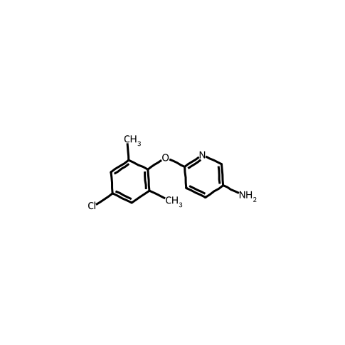 Cc1cc(Cl)cc(C)c1Oc1ccc(N)cn1